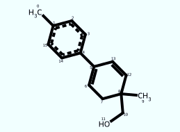 Cc1ccc(C2=CCC(C)(CO)C=C2)cc1